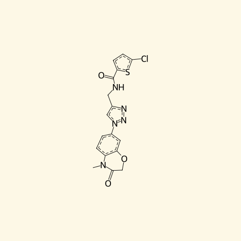 CN1C(=O)COc2cc(-n3cc(CNC(=O)c4ccc(Cl)s4)nn3)ccc21